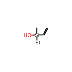 C=C[Si](C)(O)CC